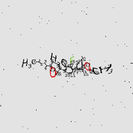 C/C=C/CCC1CCC(c2ccc(-c3ccc(OCC)cc3)c(F)c2C)CO1